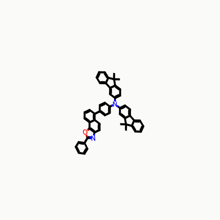 CC1(C)c2ccccc2-c2cc(N(c3ccc(-c4cccc5c4ccc4nc(-c6ccccc6)oc45)cc3)c3ccc4c(c3)C(C)(C)c3ccccc3-4)ccc21